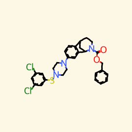 O=C(OCc1ccccc1)N1CCC2CC1c1cc(N3CCN(Sc4cc(Cl)cc(Cl)c4)CC3)ccc12